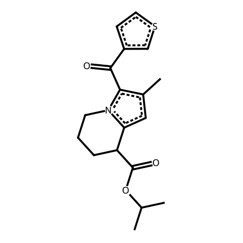 Cc1cc2n(c1C(=O)c1ccsc1)CCCC2C(=O)OC(C)C